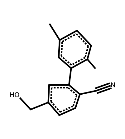 Cc1ccc(C)c(-c2cc(CO)ccc2C#N)c1